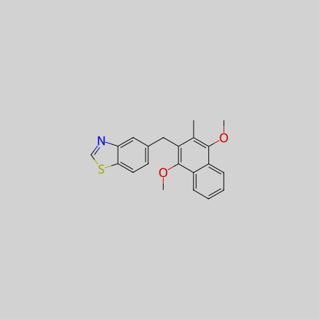 COc1c(C)c(Cc2ccc3scnc3c2)c(OC)c2ccccc12